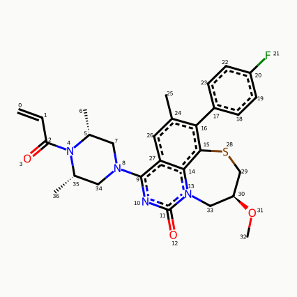 C=CC(=O)N1[C@H](C)CN(c2nc(=O)n3c4c(c(-c5ccc(F)cc5)c(C)cc24)SC[C@@H](OC)C3)C[C@@H]1C